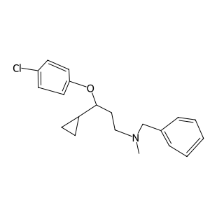 CN(CCC(Oc1ccc(Cl)cc1)C1CC1)Cc1ccccc1